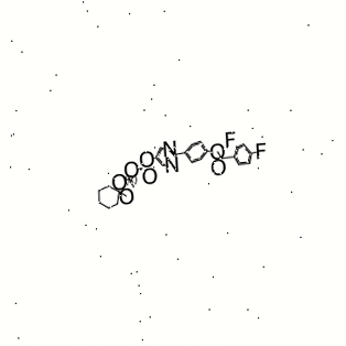 O=C(Oc1cnc(-c2ccc(OC(=O)c3ccc(F)cc3F)cc2)nc1)O[C@@H]1COC2(CCCCC2)O1